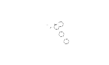 CCOC(=O)c1cc(-c2ccc(-c3ccccc3)cc2)c2ccccn2c1=O